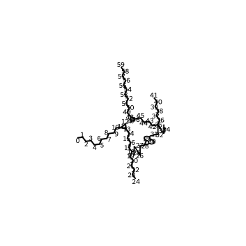 CCCCCCCCCCCC1CC1CCCCC(CCCCCC)N(C)CCSSCCN(C)C(CCCCCC)CCCCC1CC1CCCCCCCCCCC